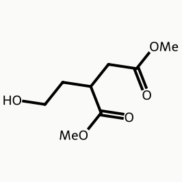 COC(=O)CC(CCO)C(=O)OC